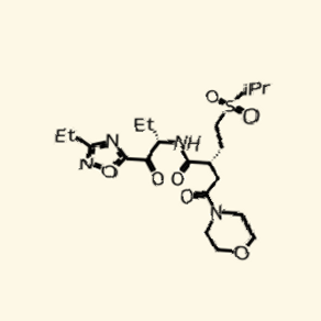 CCc1noc(C(=O)[C@H](CC)NC(=O)[C@H](CCS(=O)(=O)C(C)C)CC(=O)N2CCOCC2)n1